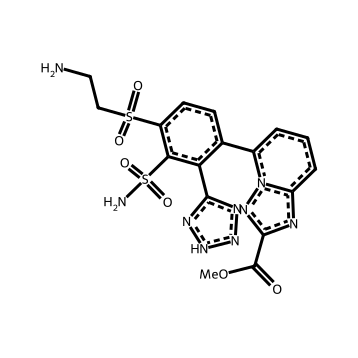 COC(=O)c1nc2cccc(-c3ccc(S(=O)(=O)CCN)c(S(N)(=O)=O)c3-c3nn[nH]n3)n2n1